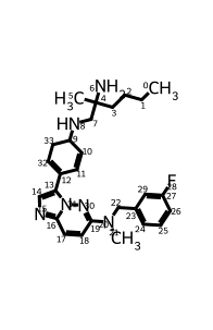 CCCCC(C)(N)CNC1C=CC(c2cnc3ccc(N(C)Cc4cccc(F)c4)nn23)=CC1